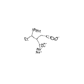 CCCCCC(CC)C(CC(=O)[O-])C(=O)[O-].[Na+].[Na+]